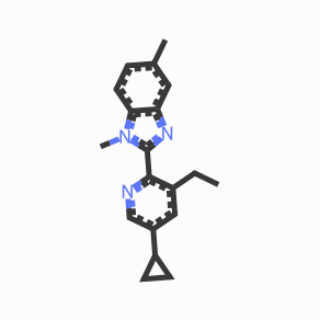 CCc1cc(C2CC2)cnc1-c1nc2cc(C)ccc2n1C